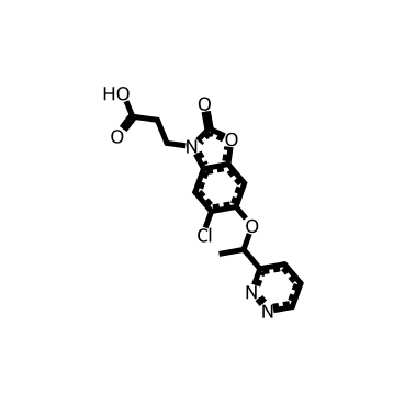 CC(Oc1cc2oc(=O)n(CCC(=O)O)c2cc1Cl)c1cccnn1